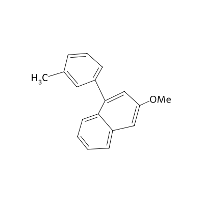 COc1cc(-c2cccc(C)c2)c2ccccc2c1